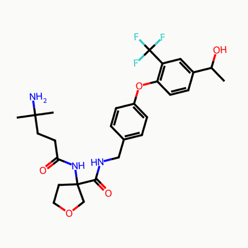 CC(O)c1ccc(Oc2ccc(CNC(=O)C3(NC(=O)CCC(C)(C)N)CCOC3)cc2)c(C(F)(F)F)c1